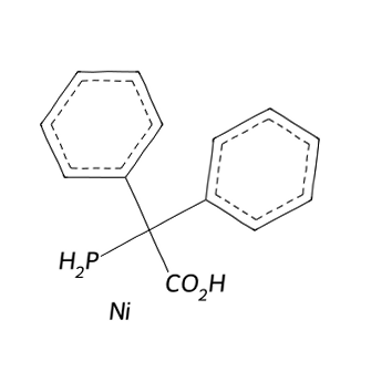 O=C(O)C(P)(c1ccccc1)c1ccccc1.[Ni]